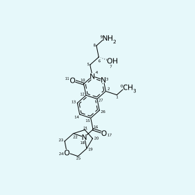 CCc1nn(C[C@@H](O)CN)c(=O)c2ccc(C(=O)N3C4CCC3COC4)cc12